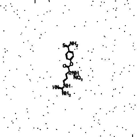 N=C(N)NCCC[C@H](N[N+](=O)[O-])C(=O)Oc1ccc(C(N)=S)cc1